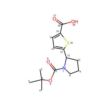 CC(C)(C)OC(=O)N1CCCC1c1ccc(C(=O)O)s1